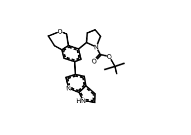 CC(C)(C)OC(=O)N1CCCC1c1cc(-c2cnc3[nH]ccc3c2)cc2c1COCC2